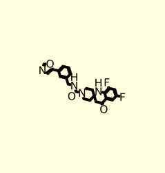 O=C1CC2(CCN(C(=O)NCc3cccc(-c4cnco4)c3)CC2)Nc2c(F)cc(F)cc21